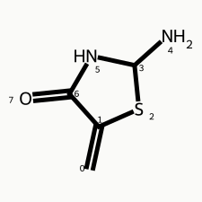 C=C1SC(N)NC1=O